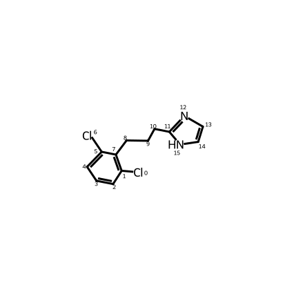 Clc1cccc(Cl)c1CCCc1ncc[nH]1